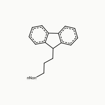 CCCCCCCCCCCCC1c2ccccc2-c2ccccc21